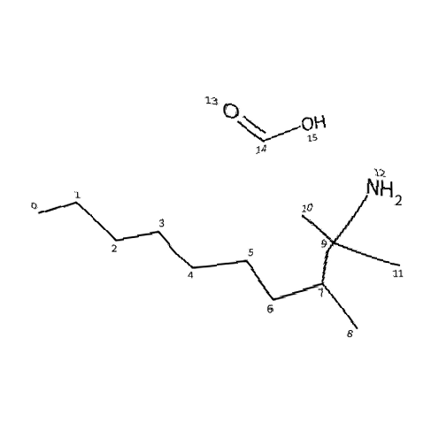 CCCCCCCC(C)C(C)(C)N.O=CO